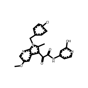 COc1cnc2c(c1)c(C(=O)C(=O)Nc1ccnc(O)c1)c(C)n2Cc1ccc(Cl)cc1